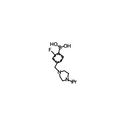 CC(C)N1CCN(Cc2ccc(B(O)O)c(F)c2)CC1